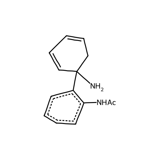 CC(=O)Nc1ccccc1C1(N)C=CC=CC1